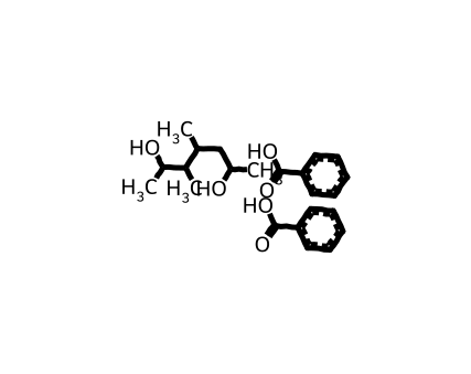 CC(O)CC(C)C(C)C(C)O.O=C(O)c1ccccc1.O=C(O)c1ccccc1